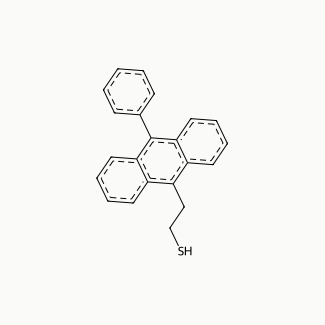 SCCc1c2ccccc2c(-c2ccccc2)c2ccccc12